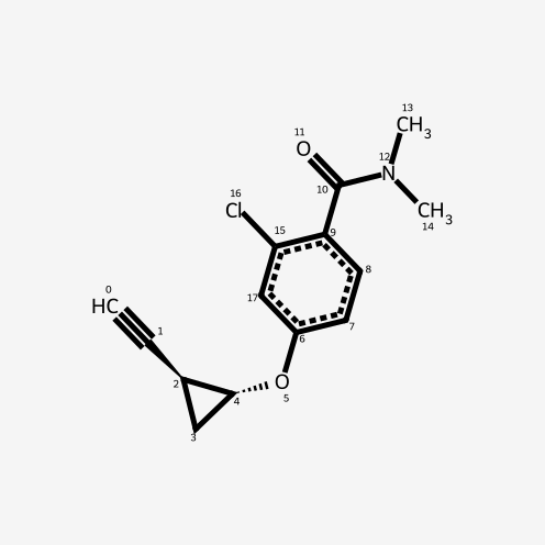 C#C[C@@H]1C[C@H]1Oc1ccc(C(=O)N(C)C)c(Cl)c1